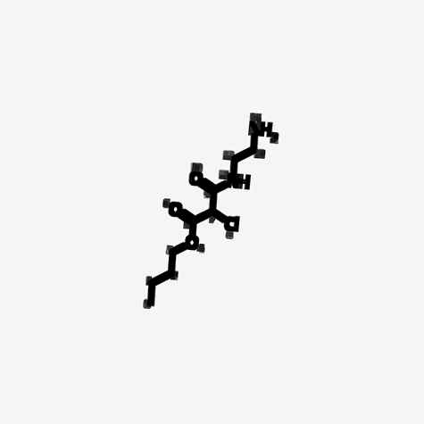 CCCCOC(=O)C(Cl)C(=O)NCCN